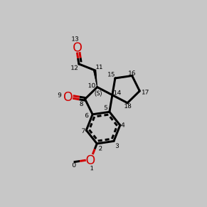 COc1ccc2c(c1)C(=O)[C@@H](CC=O)C21CCCC1